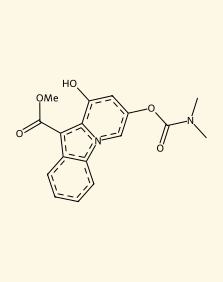 COC(=O)c1c2ccccc2n2cc(OC(=O)N(C)C)cc(O)c12